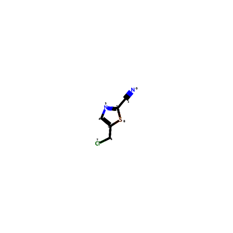 N#Cc1ncc(CCl)s1